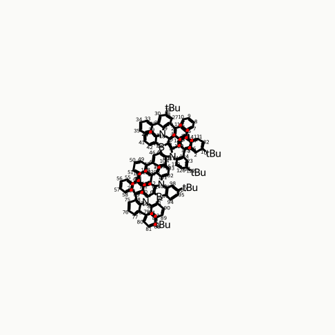 CC(C)(C)c1ccc(N(c2ccccc2)c2cc3c4c(c2)N(c2c(-c5ccccc5)cc(C(C)(C)C)cc2-c2ccccc2)c2ccccc2B4c2cc(-c4cccc(N(c5ccccc5)c5cc6c7c(c5)N(c5c(-c8ccccc8)cccc5-c5ccccc5)c5cc(C(C)(C)C)ccc5B7c5ccc(C(C)(C)C)cc5N6c5ccccc5-c5ccccc5)c4)ccc2N3c2ccc(C(C)(C)C)cc2-c2ccccc2)cc1